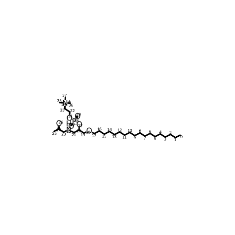 CCCCCCCCCCCCCCCCCCOCC(CNCC(C)=O)OP(=O)([O-])OCC[N+](C)(C)C